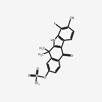 CC1(C)c2cc(OS(=O)(=O)C(F)(F)F)ccc2C(=O)c2c1[nH]c1c(F)c(C#N)ccc21